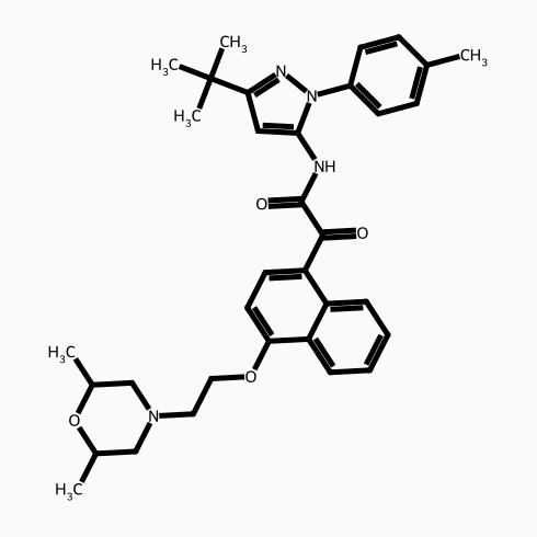 Cc1ccc(-n2nc(C(C)(C)C)cc2NC(=O)C(=O)c2ccc(OCCN3CC(C)OC(C)C3)c3ccccc23)cc1